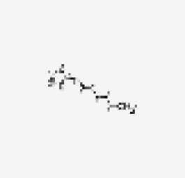 [CH2]CCCCC=Cc1ccsc1